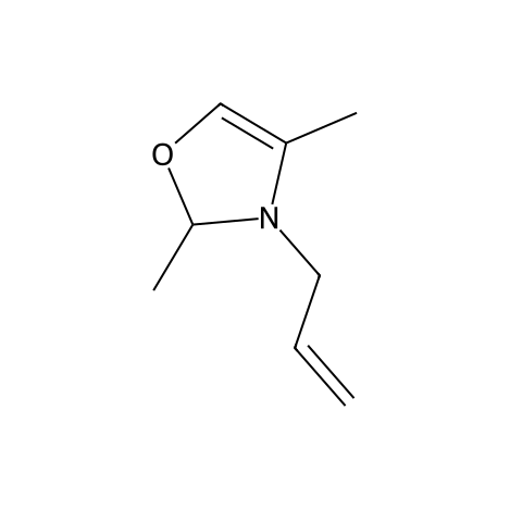 C=CCN1C(C)=COC1C